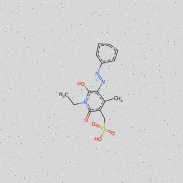 CCn1c(O)c(/N=N/c2ccccc2)c(C)c(CS(=O)(=O)O)c1=O